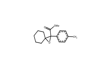 COC(=O)C1(c2ccc(C)cc2)OC12CCCCC2